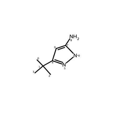 CC(C)(C)C1=N[N]C(N)=C1